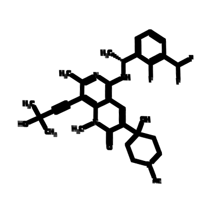 CC(=O)N1CCC(O)(c2cc3c(N[C@H](C)c4cccc(C(F)F)c4F)nc(C)c(C#CC(C)(C)O)c3n(C)c2=O)CC1